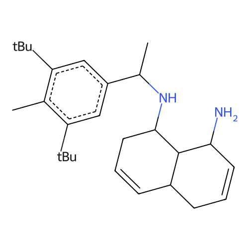 Cc1c(C(C)(C)C)cc(C(C)NC2CC=CC3CC=CC(N)C32)cc1C(C)(C)C